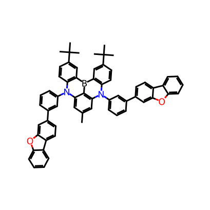 Cc1cc2c3c(c1)N(c1cccc(-c4ccc5c(c4)oc4ccccc45)c1)c1ccc(C(C)(C)C)cc1B3c1cc(C(C)(C)C)ccc1N2c1cccc(-c2ccc3c(c2)oc2ccccc23)c1